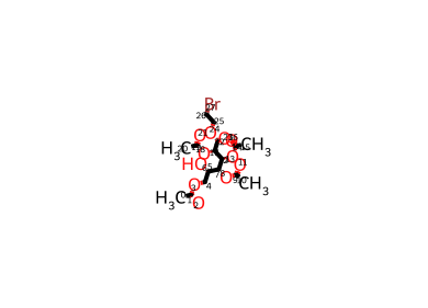 CC(=O)OC[C@@H](O)[C@@H](OC(C)=O)[C@H](OC(C)=O)[C@@H](OC(C)=O)C(=O)OCCBr